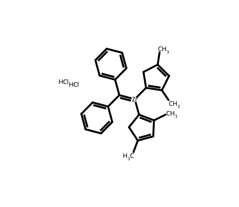 CC1=CC(C)=[C]([Zr]([C]2=C(C)C=C(C)C2)=[C](c2ccccc2)c2ccccc2)C1.Cl.Cl